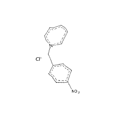 O=[N+]([O-])c1ccc(C[n+]2ccccc2)cc1.[Cl-]